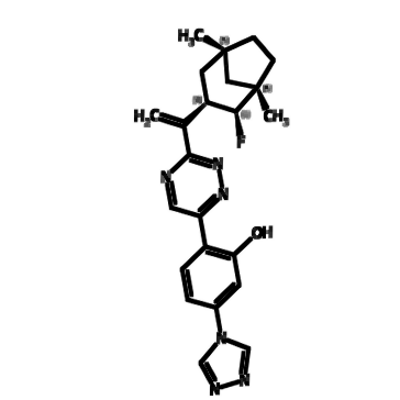 C=C(c1ncc(-c2ccc(-n3cnnc3)cc2O)nn1)[C@H]1C[C@]2(C)CC[C@@](C)(C2)[C@H]1F